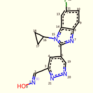 O/N=C/c1cc(-c2nc3ccc(F)cc3n2C2CC2)cnn1